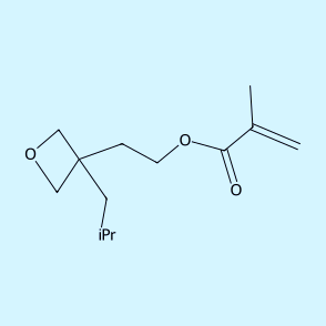 C=C(C)C(=O)OCCC1(CC(C)C)COC1